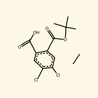 CC.CC(C)(C)OC(=O)c1cc(Cl)c(Cl)cc1C(=O)O